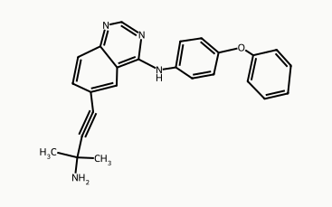 CC(C)(N)C#Cc1ccc2ncnc(Nc3ccc(Oc4ccccc4)cc3)c2c1